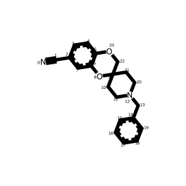 N#Cc1ccc2c(c1)OC1(CCN(Cc3ccccc3)CC1)CO2